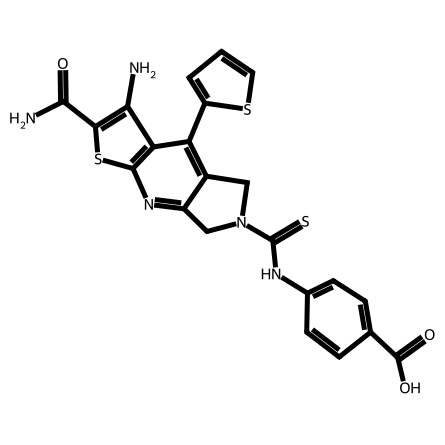 NC(=O)c1sc2nc3c(c(-c4cccs4)c2c1N)CN(C(=S)Nc1ccc(C(=O)O)cc1)C3